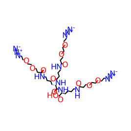 [N-]=[N+]=NCCOCCOCCC(=O)NCCCC[C@H](NC(=O)[C@H](CCCCNC(=O)CCOCCOCCN=[N+]=[N-])NC(=O)CCCNC(=O)CCOCCOCCN=[N+]=[N-])C(=O)O